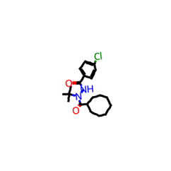 CC(C)(C)N(NC(=O)c1ccc(Cl)cc1)C(=O)C1CCCCCCC1